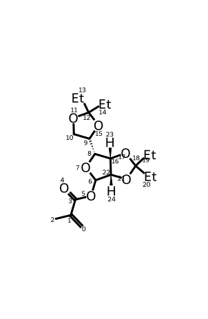 C=C(C)C(=O)OC1O[C@H](C2COC(CC)(CC)O2)[C@@H]2OC(CC)(CC)O[C@H]12